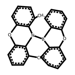 Cc1cccc2c1N(B1c3ccccc3Oc3ccccc31)c1c(C)cccc1O2